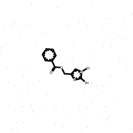 CCn1cc(COC(=O)c2ccccc2)nc1C(C)=O